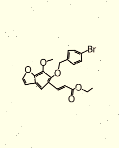 CCOC(=O)/C=C/c1cc2ccoc2c(OC)c1OCc1ccc(Br)cc1